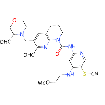 COCCNc1cc(NC(=O)N2CCCc3cc(CN4CCOCC4C=O)c(C=O)nc32)ncc1SC#N